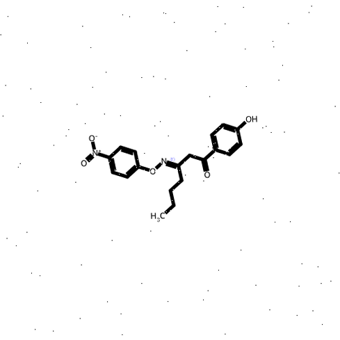 CCCC/C(CC(=O)c1ccc(O)cc1)=N\Oc1ccc([N+](=O)[O-])cc1